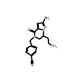 Bc1cc2n(n1)C(CCC)CN(Cc1ccc(C#N)cc1)C2=O